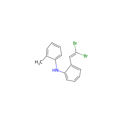 Cc1ccccc1Nc1ccccc1C=C(Br)Br